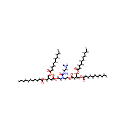 CCCCCCCCCCC(=O)OCC(COC(=O)CCCCCCCCCC)CC(=O)OCCN(CCOC(=O)CC(COC(=O)CCCCCCCCCC)COC(=O)CCCCCCCCCC)C(=O)NCCN(C)C